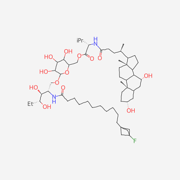 CC[C@@H](O)[C@@H](O)[C@H](COC1OC(COC(=O)[C@@H](NC(=O)CC[C@@H](C)C2CCC3C4C(CC[C@@]32C)[C@@]2(C)CC[C@@H](O)CC2C[C@H]4O)C(C)C)C(O)C(O)C1O)NC(=O)CCCCCCCCCCC12CC(F)(C1)C2